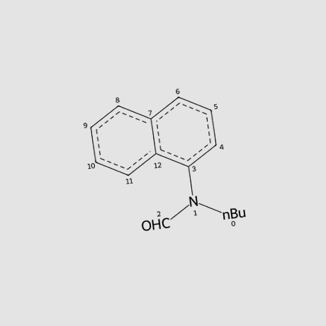 CCCCN(C=O)c1cccc2ccccc12